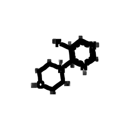 Fc1cncnc1N1CCOCC1